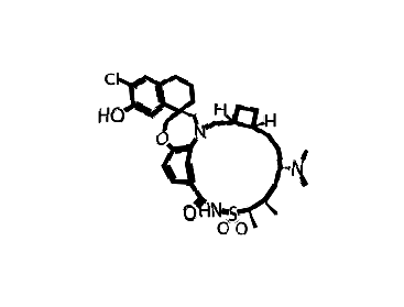 C[C@@H]1C[C@@H](N(C)C)CC[C@H]2CC[C@H]2CN2C[C@@]3(CCCc4cc(Cl)c(O)cc43)COc3ccc(cc32)C(=O)NS(=O)(=O)[C@@H]1C